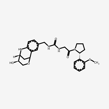 CSc1ccccc1[C@H]1CCCN1C(=O)CNC(=O)NCc1ccc2c(c1)C1C[C@@H](N2)[C@H](O)CO1